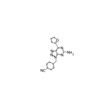 N#Cc1ccc(Cn2nnc3c(-c4ccco4)nc(N)nc32)cc1